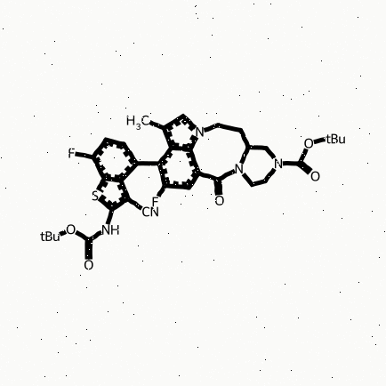 Cc1cn2c3c(cc(F)c(-c4ccc(F)c5sc(NC(=O)OC(C)(C)C)c(C#N)c45)c13)C(=O)N1CCN(C(=O)OC(C)(C)C)CC1CC2